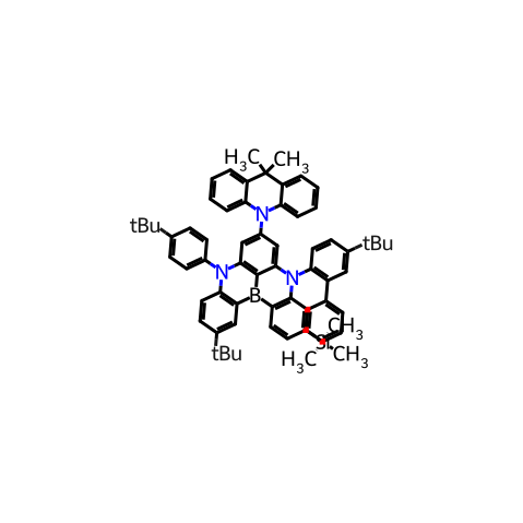 CC(C)(C)c1ccc(N2c3ccc(C(C)(C)C)cc3B3c4ccc([Si](C)(C)C)cc4N(c4ccc(C(C)(C)C)cc4-c4ccccc4)c4cc(N5c6ccccc6C(C)(C)c6ccccc65)cc2c43)cc1